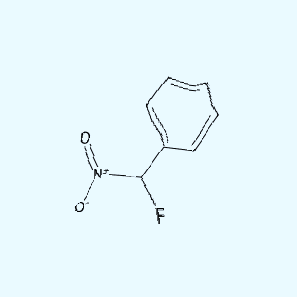 O=[N+]([O-])C(F)c1ccccc1